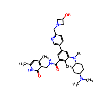 CCN(c1cc(-c2ccc(CN3CC(O)C3)nc2)cc(C(=O)NCc2c(C)cc(C)[nH]c2=O)c1C)[C@H]1CC[C@H](N(C)C)CC1